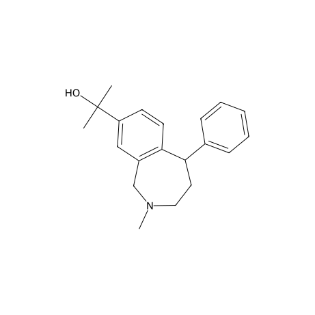 CN1CCC(c2ccccc2)c2ccc(C(C)(C)O)cc2C1